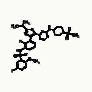 COc1ccc(F)cc1S(=O)(=O)Nc1cccc(-c2nc(C(C)C)sc2-c2ccnc(NC3CCN(S(C)(=O)=O)CC3)n2)c1F